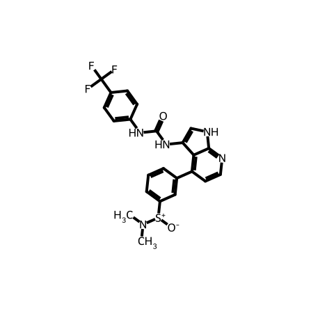 CN(C)[S+]([O-])c1cccc(-c2ccnc3[nH]cc(NC(=O)Nc4ccc(C(F)(F)F)cc4)c23)c1